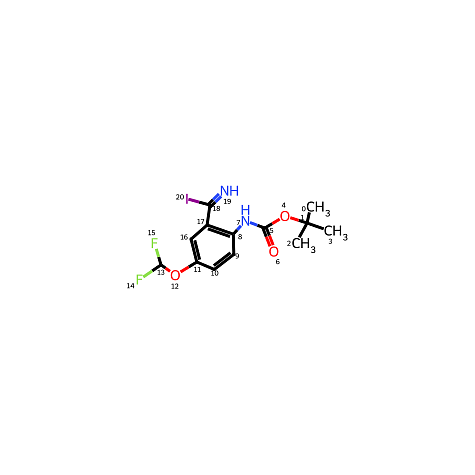 CC(C)(C)OC(=O)Nc1ccc(OC(F)F)cc1C(=N)I